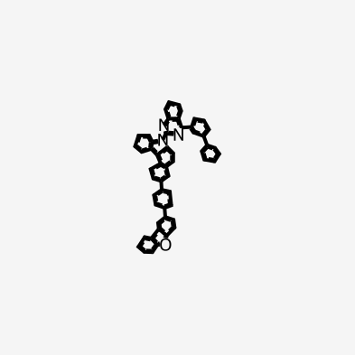 c1ccc(-c2cccc(-c3nc(-n4c5ccccc5c5c6ccc(-c7ccc(-c8ccc9oc%10ccccc%10c9c8)cc7)cc6ccc54)nc4ccccc34)c2)cc1